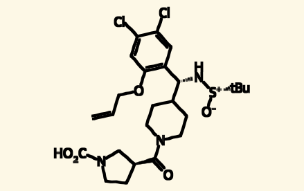 C=CCOc1cc(Cl)c(Cl)cc1[C@H](N[S@@+]([O-])C(C)(C)C)C1CCN(C(=O)[C@H]2CCN(C(=O)O)C2)CC1